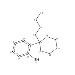 CCCCC1(c2ccccc2S)CCCCC1